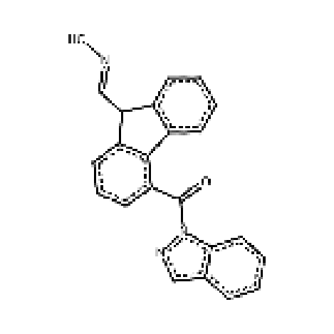 O=C(c1cccc2c1-c1ccccc1C2C=NO)n1ncc2ccccc21